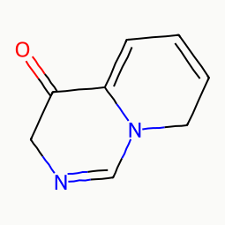 O=C1CN=CN2CC=CC=C12